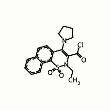 CCN1C(C(=O)Cl)=C(N2CCCC2)c2ccc3ccccc3c2S1(=O)=O